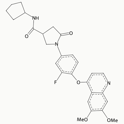 COc1cc2nccc(Oc3ccc(N4CC(C(=O)NC5CCCC5)CC4=O)cc3F)c2cc1OC